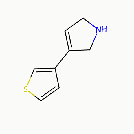 C1=C(c2ccsc2)CNC1